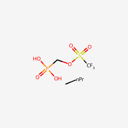 CCCC.O=P(O)(O)COS(=O)(=O)C(F)(F)F